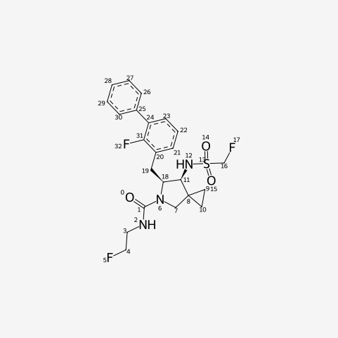 O=C(NCCF)N1CC2(CC2)[C@H](NS(=O)(=O)CF)[C@@H]1Cc1cccc(-c2ccccc2)c1F